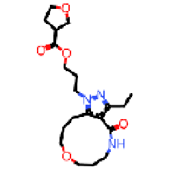 CCc1nn(CCCOC(=O)C2CCOC2)c2c1C(=O)NCCCOCCC2